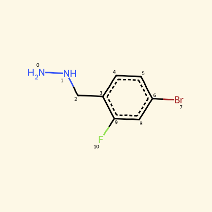 NNCc1ccc(Br)cc1F